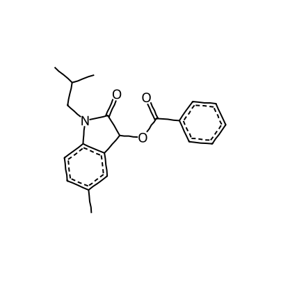 Cc1ccc2c(c1)C(OC(=O)c1ccccc1)C(=O)N2CC(C)C